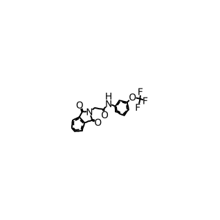 O=C(CN1C(=O)c2ccccc2C1=O)Nc1cccc(OC(F)(F)F)c1